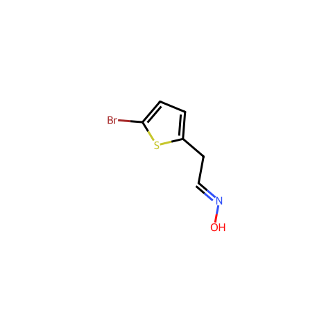 ON=CCc1ccc(Br)s1